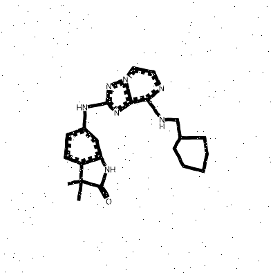 CC1(C)C(=O)Nc2cc(Nc3nc4c(NCC5CCCCC5)nccn4n3)ccc21